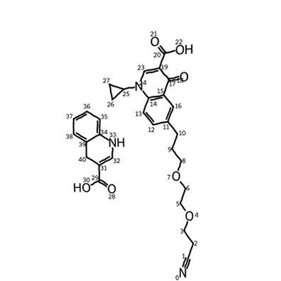 N#CCCOCCOCCCc1ccc2c(c1)c(=O)c(C(=O)O)cn2C1CC1.O=C(O)C1=CNc2ccccc2C1